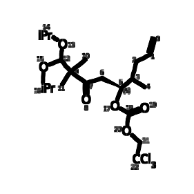 C=CCC(C)[C@H](CC(=O)C(C)(C)C(OC(C)C)OC(C)C)OC(=O)OCC(Cl)(Cl)Cl